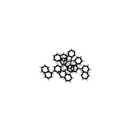 c1ccc2c(c1)-c1cccc(N(c3ccc(-c4cccc5ccccc45)cc3)c3cccc4ccccc34)c1C21c2ccccc2-c2cccc(N(c3ccc(-c4cccc5ccccc45)cc3)c3cccc4ccccc34)c21